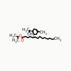 C=C(C)[C@H]1CC=C(C)CC1.CCCCCCCCCCCCCC(=O)OC(C)C